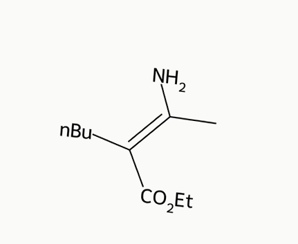 CCCCC(C(=O)OCC)=C(C)N